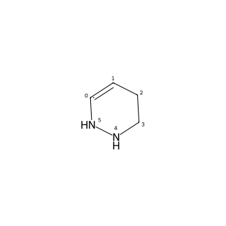 [C]1=CCCNN1